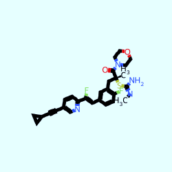 C/N=C(/N)S[C@](C)(Cc1cc(/C=C(\F)c2ccc(C#CC3CC3)cn2)ccc1F)C(=O)N1CCOCC1